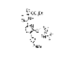 [2H]C([2H])(F)[C@H]1C[C@H]1COc1nc(C(=O)NC(CC)(CC)C(=O)OCC)ccc1N1CC(OC)C1